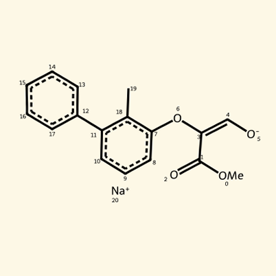 COC(=O)C(=C[O-])Oc1cccc(-c2ccccc2)c1C.[Na+]